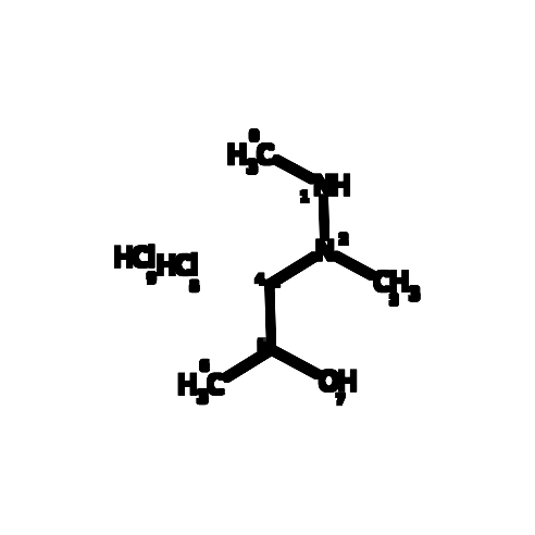 CNN(C)[CH]C(C)O.Cl.Cl